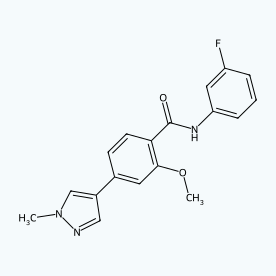 COc1cc(-c2cnn(C)c2)ccc1C(=O)Nc1cccc(F)c1